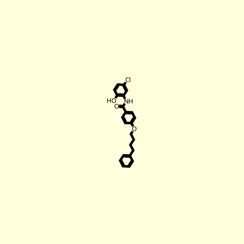 O=C(Nc1cc(Cl)ccc1O)c1ccc(OCCCCc2ccccc2)cc1